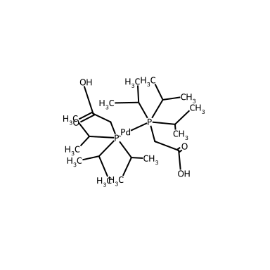 CC(C)[P](CC(=O)O)([Pd][P](CC(=O)O)(C(C)C)(C(C)C)C(C)C)(C(C)C)C(C)C